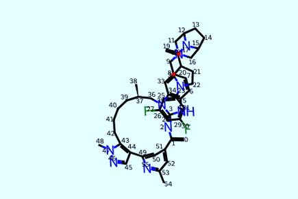 C=C1/N=C2\Nc3ccc(CN4CC5CCC(C4)N5C(=C)C4CCN(c5cc(F)cc(F)c5)C4)cc3N2C[C@H](C)CCCCc2c(cnn2C)-c2cc1cc(C)n2